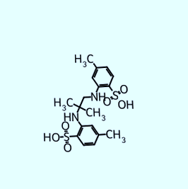 Cc1ccc(S(=O)(=O)O)c(NCC(C)(C)Nc2cc(C)ccc2S(=O)(=O)O)c1